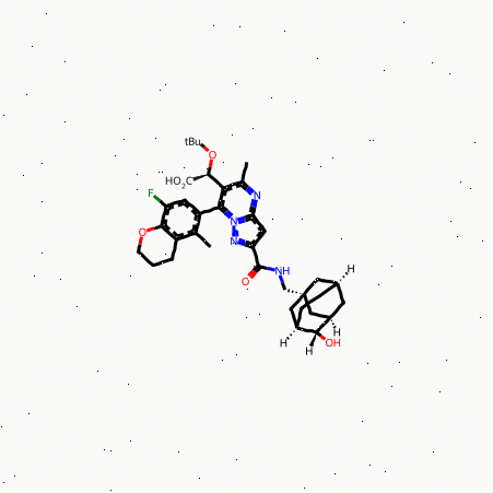 Cc1nc2cc(C(=O)NC[C@]34C[C@H]5C[C@@H](C[C@H](C3)[C@H]5O)C4)nn2c(-c2cc(F)c3c(c2C)CCCO3)c1[C@H](OC(C)(C)C)C(=O)O